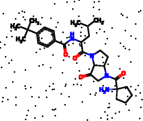 CC(C)CC(NC(=O)c1ccc(C(C)(C)C)cc1)C(=O)N1CCC2C1C(=O)CN2C(=O)C1(N)CCCC1